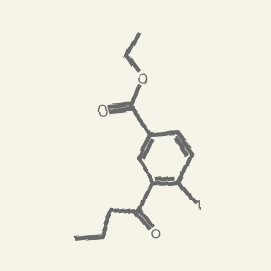 CCCC(=O)c1cc(C(=O)OCC)ccc1I